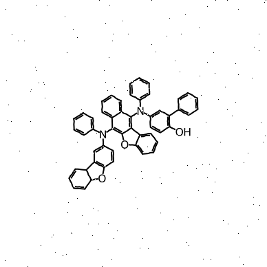 Oc1ccc(N(c2ccccc2)c2c3ccccc3c(N(c3ccccc3)c3ccc4c(c3)C3C=CC=CC3O4)c3oc4ccccc4c23)cc1-c1ccccc1